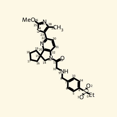 CCS(=O)(=O)c1ccc(CNCC(=O)N2CC3(CCCC3)c3nc(-c4sc(OC)nc4C)ccc32)cc1